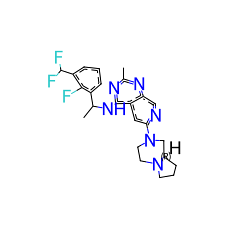 Cc1nc(NC(C)c2cccc(C(F)F)c2F)c2cc(N3CCN4CCC[C@@H]4C3)ncc2n1